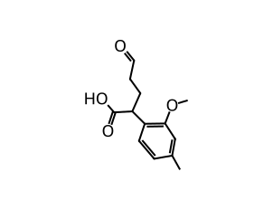 COc1cc(C)ccc1C(CCC=O)C(=O)O